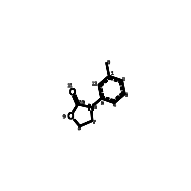 Cc1cccc(N2CCOC2=O)c1